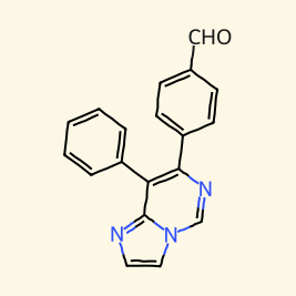 O=Cc1ccc(-c2ncn3ccnc3c2-c2ccccc2)cc1